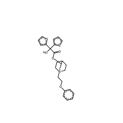 O=C(OC1C[N+]2(CCOc3ccccc3)CCC1CC2)C(O)(c1cccs1)c1cccs1